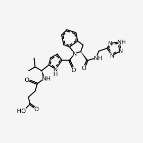 CC(C)[C@H](NC(=O)CCC(=O)O)c1ccc(C(=O)N2c3ccccc3C[C@H]2C(=O)NCc2nn[nH]n2)[nH]1